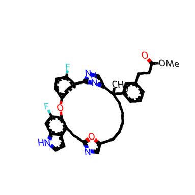 COC(=O)CCc1cccc(C2(C)CCCCCc3cnc(o3)Cc3c(c(F)cc4[nH]ccc34)Oc3ccc(F)c(c3)-c3ncc2[nH]3)c1